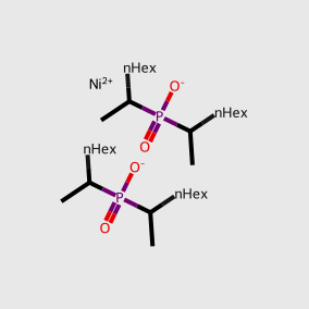 CCCCCCC(C)P(=O)([O-])C(C)CCCCCC.CCCCCCC(C)P(=O)([O-])C(C)CCCCCC.[Ni+2]